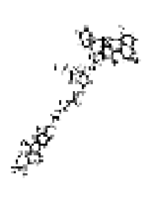 C#Cc1c(F)ccc2cc(O)cc(-c3ncc4c(N5CC6CCC(C5)N6)nc(OC[C@@]56CC[C@@H](COC(=O)NCCCCCNc7ccc8c(c7)C(=O)N(C7CCC(=O)NC7=O)C8=O)N5CC(=C)C6)nc4c3F)c12